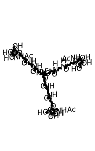 CCNC(COCCC(=O)NCCCNC(=O)CCCCO[C@@H]1O[C@H](CO)[C@H](O)[C@H](O)C1CNC(C)=O)(COCCC(=O)NCCCNC(=O)CCCCO[C@@H]1O[C@H](CO)[C@H](O)[C@H](O)[C@H]1NC(C)=O)COCCC(=O)NCCCNC(=O)CCCCO[C@@H]1O[C@H](CO)[C@H](O)[C@H](O)[C@H]1NC(C)=O